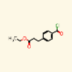 CCOC(=O)CCc1ccc(C(=O)Cl)cc1